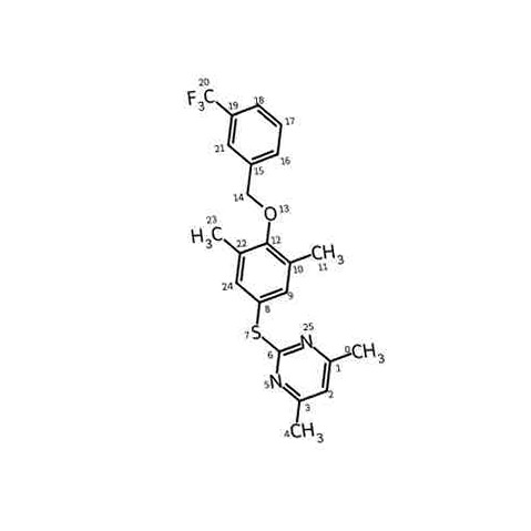 Cc1cc(C)nc(Sc2cc(C)c(OCc3cccc(C(F)(F)F)c3)c(C)c2)n1